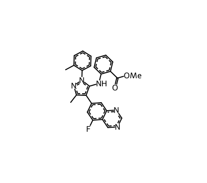 COC(=O)c1ccccc1Nc1c(-c2cc(F)c3cncnc3c2)c(C)nn1-c1ccccc1C